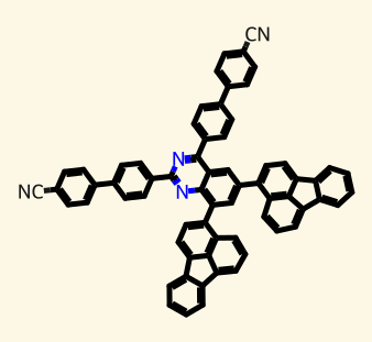 N#Cc1ccc(-c2ccc(-c3nc(-c4ccc(-c5ccc(C#N)cc5)cc4)c4cc(-c5ccc6c7c(cccc57)-c5ccccc5-6)cc(-c5ccc6c7c(cccc57)-c5ccccc5-6)c4n3)cc2)cc1